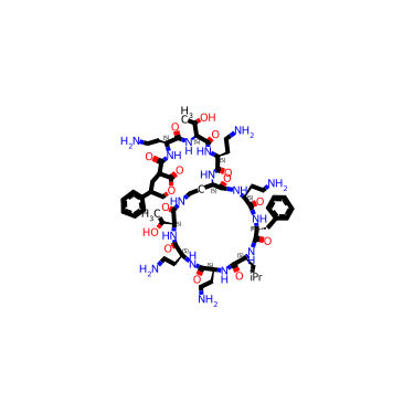 CC(C)C[C@@H]1NC(=O)[C@@H](Cc2ccccc2)NC(=O)[C@H](CCN)NC(=O)[C@@H](NC(=O)[C@H](CCN)NC(=O)[C@@H](NC(=O)[C@H](CCN)NC(=O)C2CC(c3ccccc3)COC2=O)C(C)O)CCNC(=O)[C@H](C(C)O)NC(=O)[C@H](CCN)NC(=O)[C@H](CCN)NC1=O